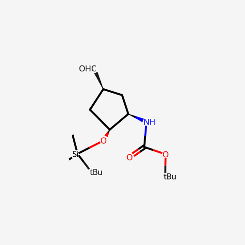 CC(C)(C)OC(=O)N[C@@H]1C[C@H](C=O)C[C@@H]1O[Si](C)(C)C(C)(C)C